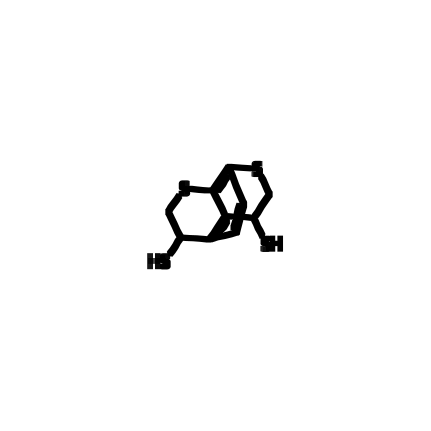 SC1CSc2c3ccc1c2C(S)CS3